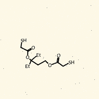 CCC(CC)(CCOC(=O)CS)OC(=O)CS